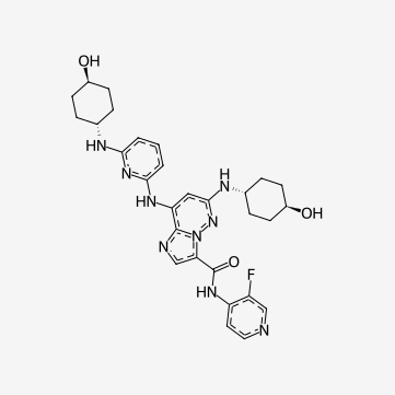 O=C(Nc1ccncc1F)c1cnc2c(Nc3cccc(N[C@H]4CC[C@H](O)CC4)n3)cc(N[C@H]3CC[C@H](O)CC3)nn12